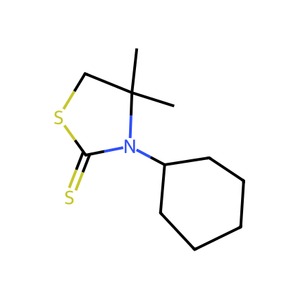 CC1(C)CSC(=S)N1C1CCCCC1